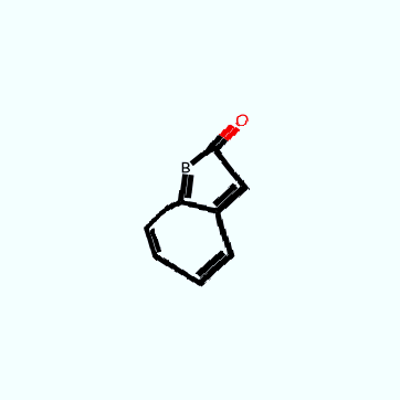 O=C1B=c2ccccc2=C1